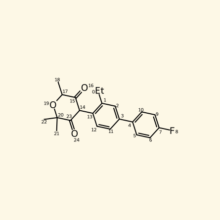 CCc1cc(-c2ccc(F)cc2)ccc1C1C(=O)C(C)OC(C)(C)C1=O